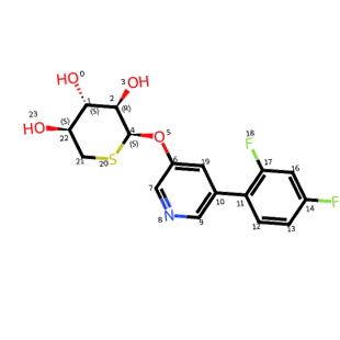 O[C@@H]1[C@@H](O)[C@@H](Oc2cncc(-c3ccc(F)cc3F)c2)SC[C@H]1O